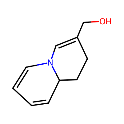 OCC1=CN2C=CC=CC2CC1